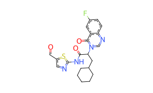 O=Cc1cnc(NC(=O)C(CC2CCCCC2)n2cnc3ccc(F)cc3c2=O)s1